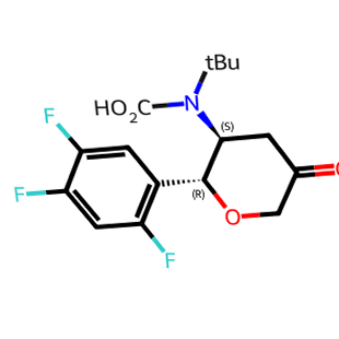 CC(C)(C)N(C(=O)O)[C@H]1CC(=O)CO[C@@H]1c1cc(F)c(F)cc1F